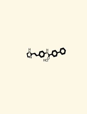 Cl.O=C(Nc1ccc(C=CC2=NCCN2)cc1)c1ccc(-c2ccccc2)cc1